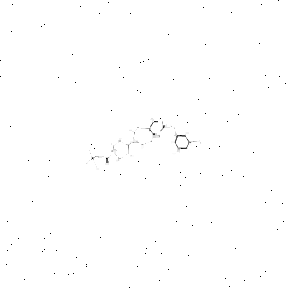 Cc1cc(C)cc(Nc2ncc3c(n2)CCN(C2CCN(C(=O)OC(C)(C)C)[C@@H](C)C2)CC3)c1